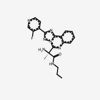 CCCNC(=O)[C@@](C)(N)c1nc2ccccc2c2nc(-c3ccncc3F)nn12